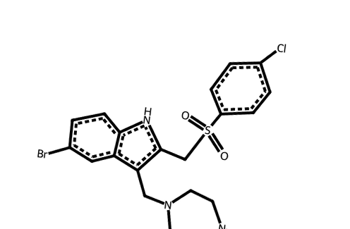 CCN1CCN(Cc2c(CS(=O)(=O)c3ccc(Cl)cc3)[nH]c3ccc(Br)cc23)CC1